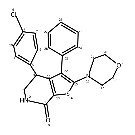 O=C1NCC(c2ccc(Cl)cc2)c2c1sc(N1CCOCC1)c2-c1ccccc1